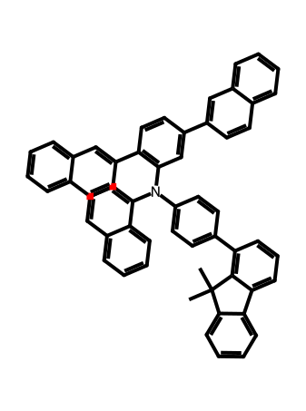 CC1(C)c2ccccc2-c2cccc(-c3ccc(N(c4cc(-c5ccc6ccccc6c5)ccc4-c4ccc5ccccc5c4)c4cccc5ccccc45)cc3)c21